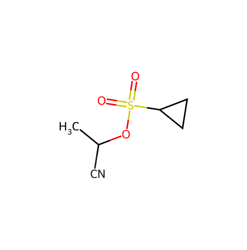 CC(C#N)OS(=O)(=O)C1CC1